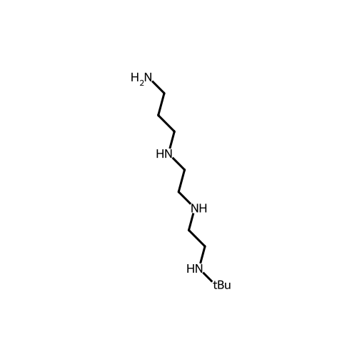 CC(C)(C)NCCNCCNCCCN